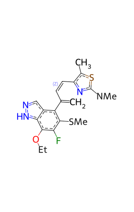 C=C(/C=C\c1nc(NC)sc1C)c1c(SC)c(F)c(OCC)c2[nH]ncc12